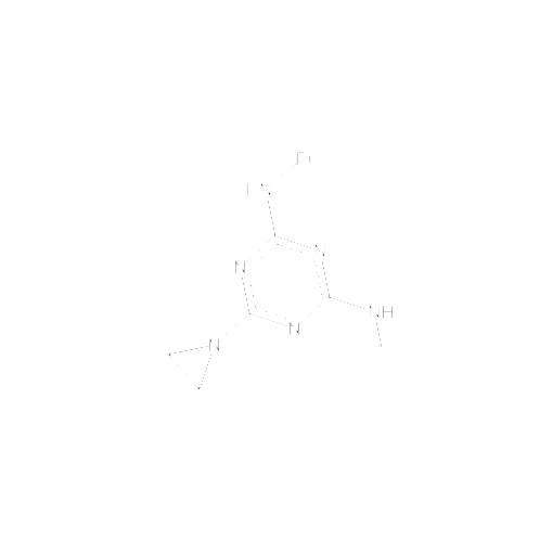 CCNc1nc(NCC)nc(N2CC2)n1